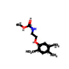 Cc1cc(C(=O)O)c(OCCNC(=O)OC(C)(C)C)cc1[N+](=O)[O-]